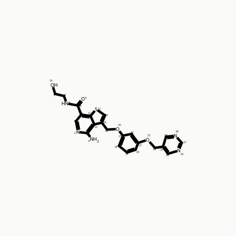 Nc1ncc(C(=O)NCCO)c2scc(COc3cccc(OCc4cncnc4)c3)c12